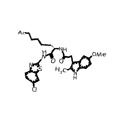 COc1ccc2[nH]c(C)c(CC(=O)N[C@@H](CCCCCC(C)=O)C(=O)Nc3nc4ccc(Cl)cc4s3)c2c1